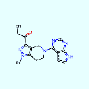 CCn1nc(C(=O)CC#N)c2c1CCN(c1ncnc3[nH]ccc13)C2